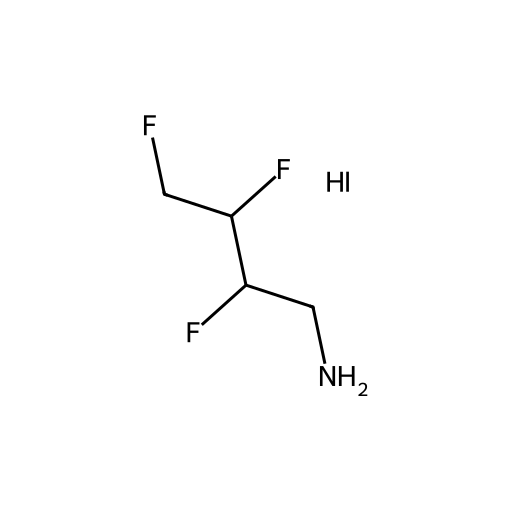 I.NCC(F)C(F)CF